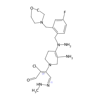 CN/N=C\C(=C(\Cl)C=O)N1CCC(N(N)Cc2ccc(F)cc2CN2CCOCC2)=C(N)C1